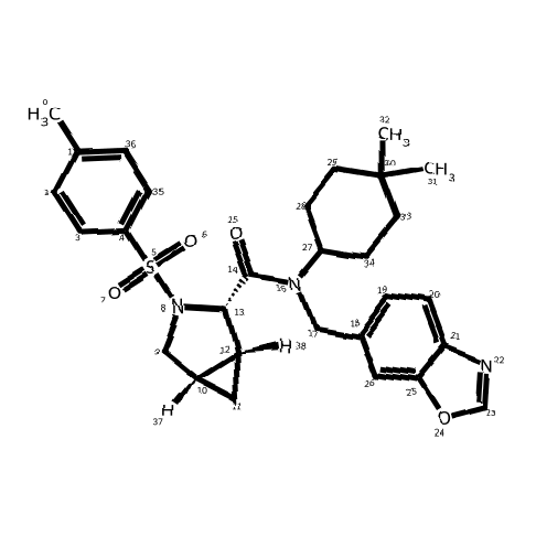 Cc1ccc(S(=O)(=O)N2C[C@H]3C[C@H]3[C@H]2C(=O)N(Cc2ccc3ncoc3c2)C2CCC(C)(C)CC2)cc1